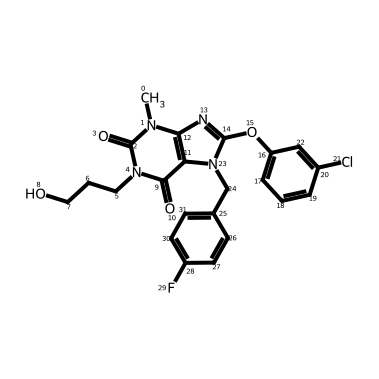 Cn1c(=O)n(CCCO)c(=O)c2c1nc(Oc1cccc(Cl)c1)n2Cc1ccc(F)cc1